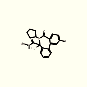 CC(C)(C)NC(=O)C1(C)c2ccccc2-c2cc(F)ccc2C(=O)N1C1CCCC1